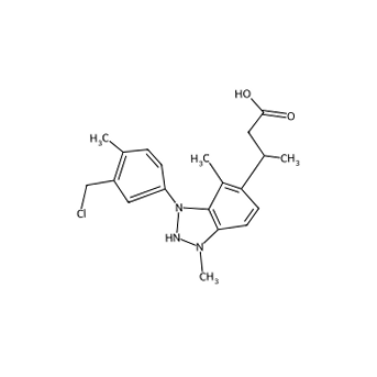 Cc1ccc(N2NN(C)c3ccc(C(C)CC(=O)O)c(C)c32)cc1CCl